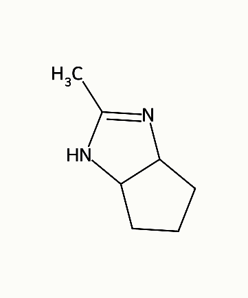 CC1=NC2CCCC2N1